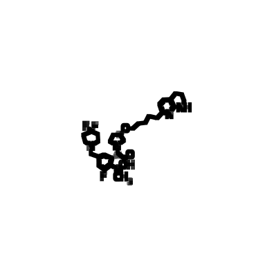 COc1c(F)cc(CN2CCC(F)(F)CC2)cc1[C@@H](C(=O)O)N1CC[C@@H](OCCCCCc2ccc3c(n2)NCCC3)C1